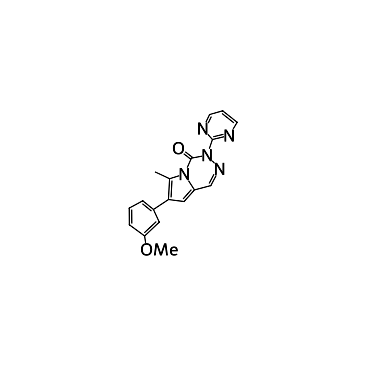 COc1cccc(-c2cc3cnn(-c4ncccn4)c(=O)n3c2C)c1